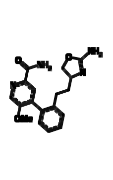 COc1cnc(C(N)=O)cc1-c1ccccc1CCC1COC(N)=N1